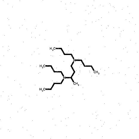 CCCCN(CCCC)CCC(C)N(CCCC)CCCC